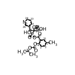 Cc1ccc(OC(=O)OC(C)C)c(C2OP(=O)(O)C(O)(Cc3cccnc3)P(=O)(O)O2)c1